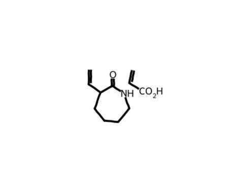 C=CC(=O)O.C=CC1CCCCNC1=O